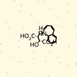 C1=CNc2ccccc2C=C1.O=C(O)[C@H](O)[C@@H](O)C(=O)O